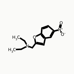 CCN(CC)Cc1cc2cc([N+](=O)[O-])ccc2o1